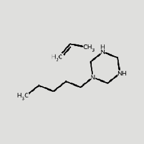 C=CC.CCCCCN1CNCNC1